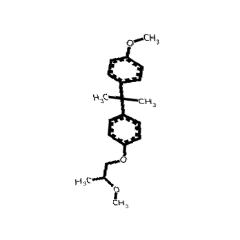 COc1ccc(C(C)(C)c2ccc(OCC(C)OC)cc2)cc1